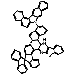 CC1C=Cc2c(cccc2-n2c3cc4ccccc4cc3c3c4ccccc4ccc32)C1C1Nc2c(sc3ccccc23)N=C1c1cccc2c1-c1ccccc1C21c2ccccc2-c2ccccc21